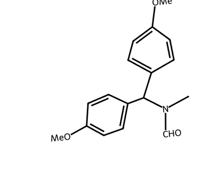 COc1ccc(C(c2ccc(OC)cc2)N(C)C=O)cc1